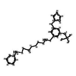 FC(F)(F)Oc1cc(CNCCCCOCCNc2ccccc2)cc(Cc2cnco2)c1